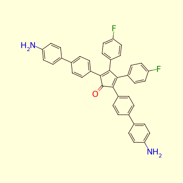 Nc1ccc(-c2ccc(C3=C(c4ccc(F)cc4)C(c4ccc(F)cc4)=C(c4ccc(-c5ccc(N)cc5)cc4)C3=O)cc2)cc1